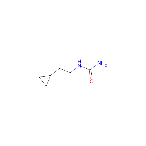 NC(=O)NCCC1CC1